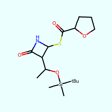 CC(O[Si](C)(C)C(C)(C)C)C1C(=O)NC1SC(=O)C1CCCO1